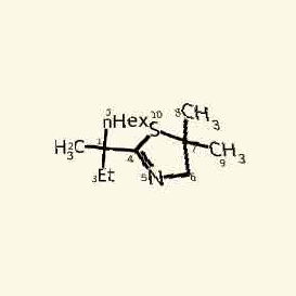 CCCCCCC(C)(CC)C1=NCC(C)(C)S1